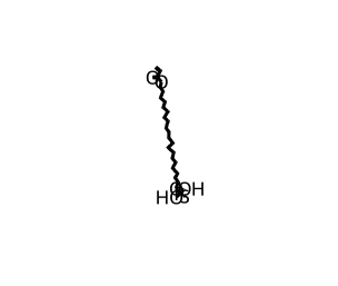 C=CC(=O)OCCCCCCCCCCCCCCCCCCCCOP(O)(O)=S